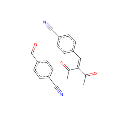 CC(=O)C(=Cc1ccc(C#N)cc1)C(C)=O.N#Cc1ccc(C=O)cc1